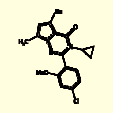 CCC(C)c1cc(C)n2nc(-c3ccc(Cl)cc3OC)n(C3CC3)c(=O)c12